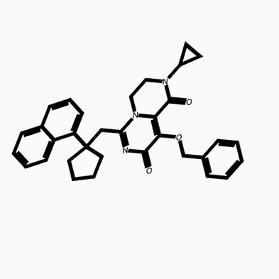 O=C1c2c(OCc3ccccc3)c(=O)nc(CC3(c4cccc5ccccc45)CCCC3)n2CCN1C1CC1